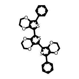 c1ccc(-c2sc(-c3sc(-c4sc(-c5ccccc5)c5c4OCCO5)c4c3OCCO4)c3c2OCCO3)cc1